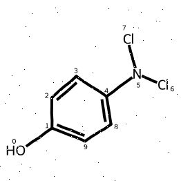 Oc1ccc(N(Cl)Cl)cc1